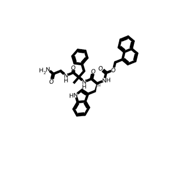 CC(Cc1ccccc1)(NC(=O)[C@H](Cc1c[nH]c2ccccc12)NC(=O)OCc1cccc2ccccc12)C(=O)NCC(N)=O